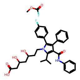 CC(C)c1c(C(=O)Nc2ccccc2)c(-c2ccccc2)c(-c2ccc(F)cc2)n1CCC(O)CC(O)CC(=O)O.COC(=O)F